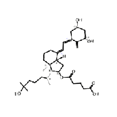 C=C1/C(=C\C=C2/CCC[C@]3(C)[C@@H]([C@H](C)CCCC(C)(C)O)[C@H](OC(=O)CCCC(=O)O)C[C@@H]23)C[C@@H](O)C[C@@H]1O